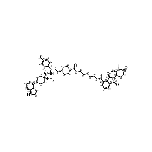 NC1(C(=O)N[C@@H](CCN2CCN(C(=O)CCCCCCCNc3cccc4c3C(=O)N(C3CCC(=O)NC3=O)C4=O)CC2)c2ccc(Cl)cc2)CCN(c2ncnc3[nH]ccc23)CC1